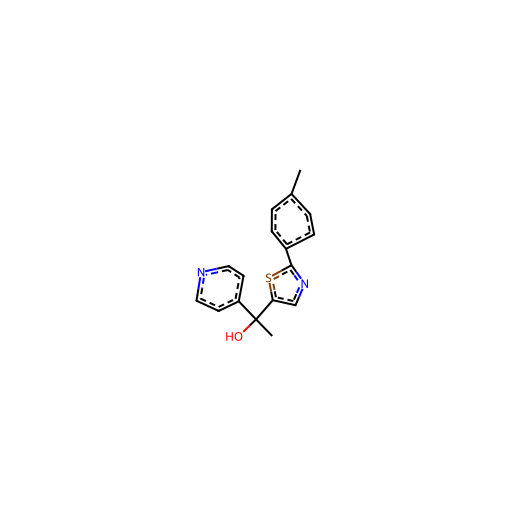 Cc1ccc(-c2ncc(C(C)(O)c3ccncc3)s2)cc1